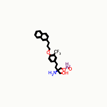 NC(CO)(CCc1ccc(OCCCc2ccc3ccccc3c2)c(C(F)(F)F)c1)CO[PH2]=O